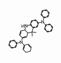 CC1(C)c2cc(N(c3ccccc3)c3ccccc3)ccc2NC2C=CC(N(C3=CCCC=C3)c3ccccc3)=CC21